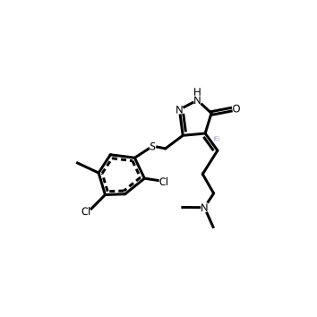 Cc1cc(SCC2=NNC(=O)/C2=C/CCN(C)C)c(Cl)cc1Cl